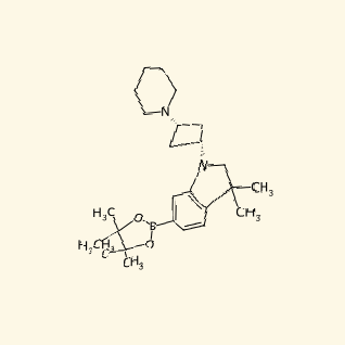 CC1(C)CN([C@H]2C[C@@H](N3CCCCC3)C2)c2cc(B3OC(C)(C)C(C)(C)O3)ccc21